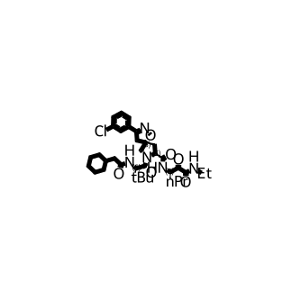 CCC[C@H](NC(=O)[C@@H]1C[C@]2(CC(c3cccc(Cl)c3)=NO2)CN1C(=O)[C@@H](NC(=O)CC1CCCCC1)C(C)(C)C)C(=O)C(=O)NCC